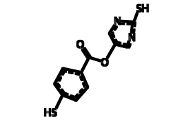 O=C(Oc1cnc(S)nc1)c1ccc(S)cc1